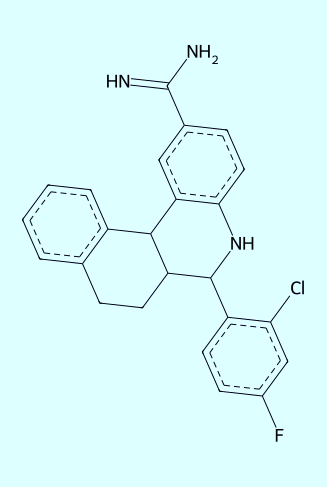 N=C(N)c1ccc2c(c1)C1c3ccccc3CCC1C(c1ccc(F)cc1Cl)N2